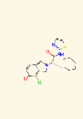 O=C1C=CC2=CN([C@@H](CC3CCCCC3)C(=O)Nc3nccs3)CC2=C1Cl